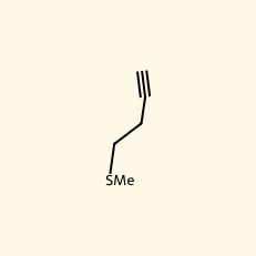 C#CCCSC